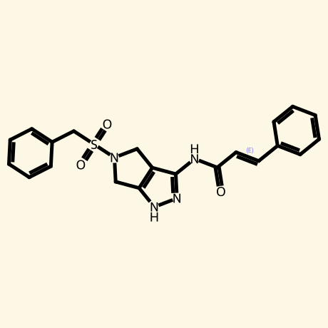 O=C(/C=C/c1ccccc1)Nc1n[nH]c2c1CN(S(=O)(=O)Cc1ccccc1)C2